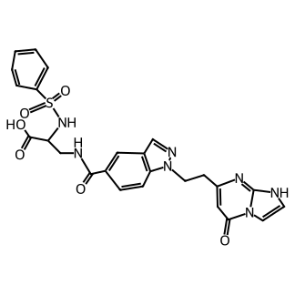 O=C(NCC(NS(=O)(=O)c1ccccc1)C(=O)O)c1ccc2c(cnn2CCc2cc(=O)n3cc[nH]c3n2)c1